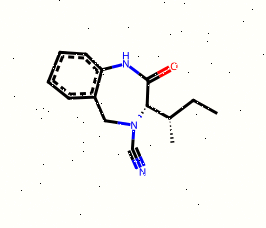 CC[C@H](C)[C@H]1C(=O)Nc2ccccc2CN1C#N